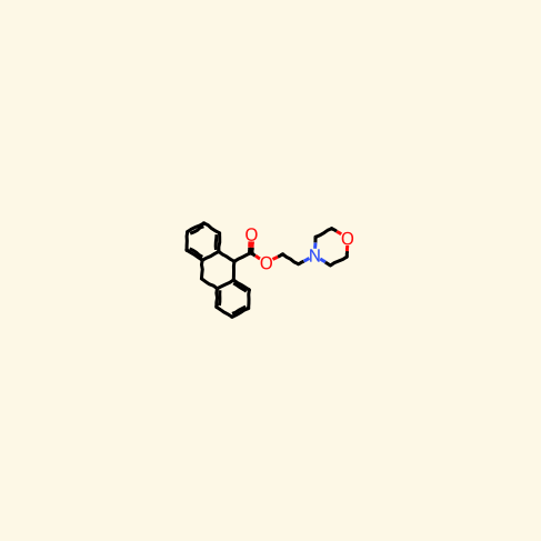 O=C(OCCN1CCOCC1)C1c2ccccc2Cc2ccccc21